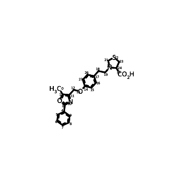 Cc1oc(-c2ccccc2)nc1COc1ccc(CCN2CSCC2C(=O)O)cc1